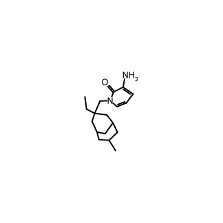 CCC1(Cn2cccc(N)c2=O)CC2CC(C)CC(C2)C1